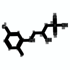 Cc1ccc(Cl)cc1NCC(O)CS(=O)(=O)O